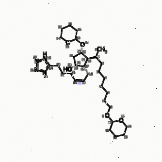 CC(CCCCCCCOC1CCCCO1)[C@H]1[C@H](C/C=C\CCCc2nnn[nH]2)[C@H](O)C[C@@H]1OC1CCCCO1